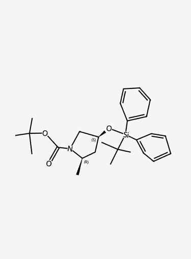 C[C@@H]1C[C@H](O[Si](c2ccccc2)(c2ccccc2)C(C)(C)C)CN1C(=O)OC(C)(C)C